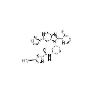 C#Cc1cnc(C(=O)N[C@H]2CCC[C@@H](n3c(-c4ncccc4F)nc4cnc(-n5ccnn5)cc43)C2)s1